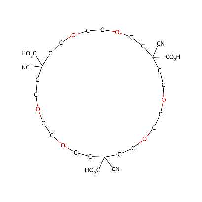 N#CC1(C(=O)O)CCOCCOCCC(C#N)(C(=O)O)CCOCCOCCC(C#N)(C(=O)O)CCOCCOCC1